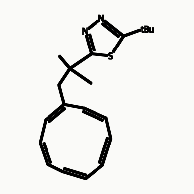 CC(C)(C)c1nnc(C(C)(C)Cc2ccccccccc2)s1